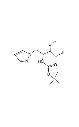 COC(CF)C(Cn1cccn1)NC(=O)OC(C)(C)C